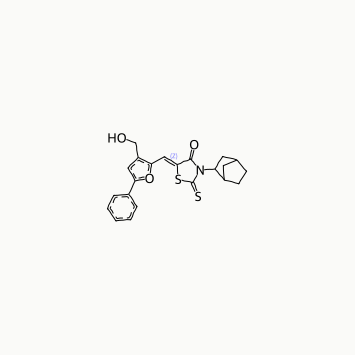 O=C1/C(=C/c2oc(-c3ccccc3)cc2CO)SC(=S)N1C1CC2CCC1C2